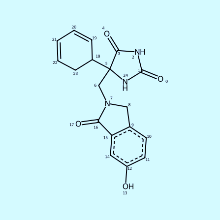 O=C1NC(=O)C(CN2Cc3ccc(O)cc3C2=O)(C2C=CC=CC2)N1